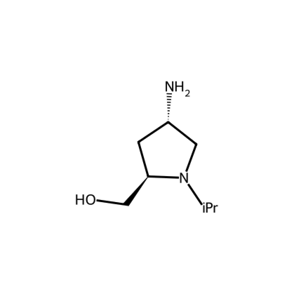 CC(C)N1C[C@@H](N)C[C@@H]1CO